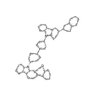 c1ccc2cc(-c3ccc4c(c3)c3ccccc3n4-c3ccc(-c4ccc(-n5c6ccccc6c6ccc7c8ccccc8oc7c65)cc4)cc3)ccc2c1